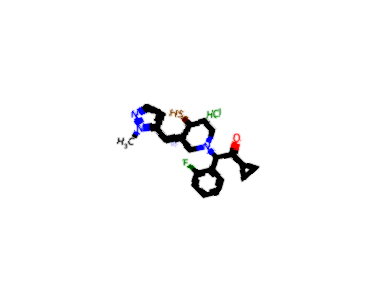 Cl.Cn1nccc1/C=C1/CN(C(C(=O)C2CC2)c2ccccc2F)CCC1S